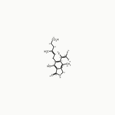 C/C(=C\Cc1c(O)c2c(c(C)c1C(F)=C(F)F)COC2=O)CCC(=O)O